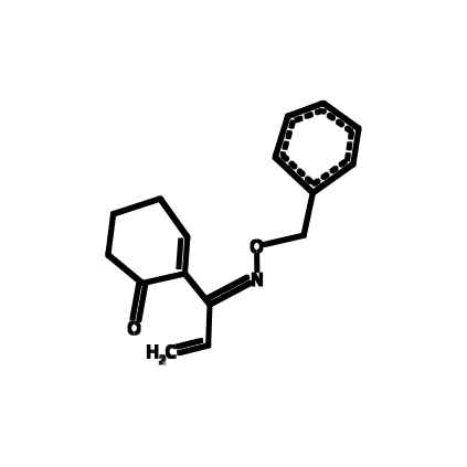 C=C/C(=N/OCc1ccccc1)C1=CCCCC1=O